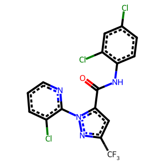 O=C(Nc1ccc(Cl)cc1Cl)c1cc(C(F)(F)F)nn1-c1ncccc1Cl